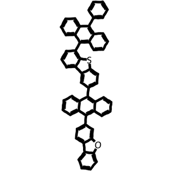 c1ccc(-c2c3ccccc3c(-c3cccc4c3sc3ccc(-c5c6ccccc6c(-c6ccc7c(c6)oc6ccccc67)c6ccccc56)cc34)c3ccccc23)cc1